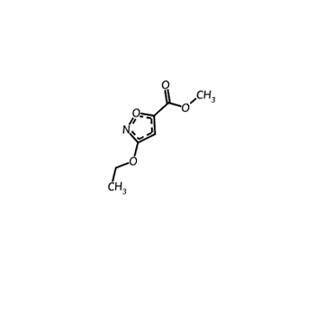 CCOc1cc(C(=O)OC)on1